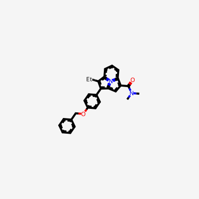 CCc1c(-c2ccc(OCc3ccccc3)cc2)c2cc(C(=O)N(C)C)c3cccc1n32